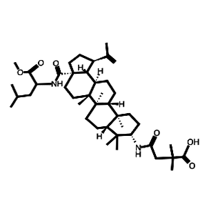 C=C(C)[C@@H]1CC[C@]2(C(=O)NC(CC(C)C)C(=O)OC)CC[C@]3(C)[C@H](CC[C@@H]4[C@@]5(C)CC[C@H](NC(=O)CC(C)(C)C(=O)O)C(C)(C)[C@@H]5CC[C@]43C)[C@@H]12